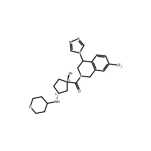 CC(C)[C@]1(C(=O)N2Cc3cc(C(F)(F)F)ccc3C(n3cnnc3)C2)CC[C@@H](NC2CCOCC2)C1